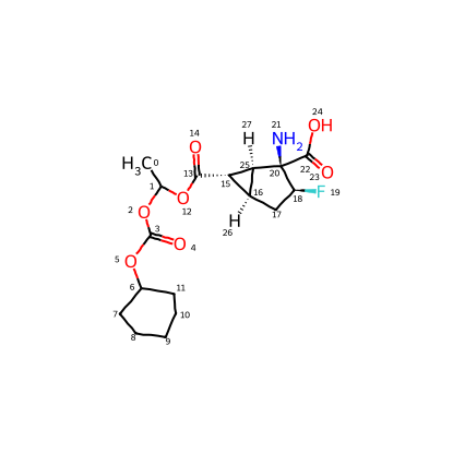 CC(OC(=O)OC1CCCCC1)OC(=O)[C@H]1[C@@H]2C[C@H](F)[C@@](N)(C(=O)O)[C@@H]21